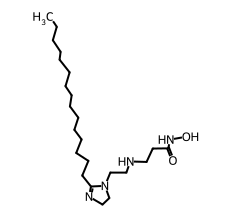 CCCCCCCCCCCCCCCC1=NCCN1CCNCCC(=O)NO